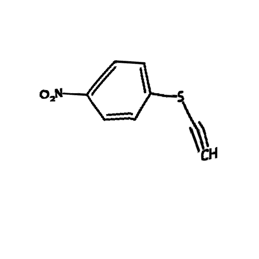 C#CSc1ccc([N+](=O)[O-])cc1